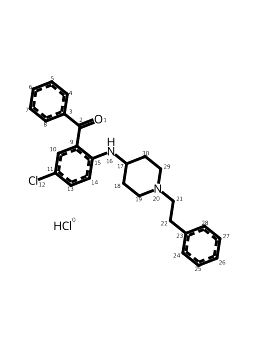 Cl.O=C(c1ccccc1)c1cc(Cl)ccc1NC1CCN(CCc2ccccc2)CC1